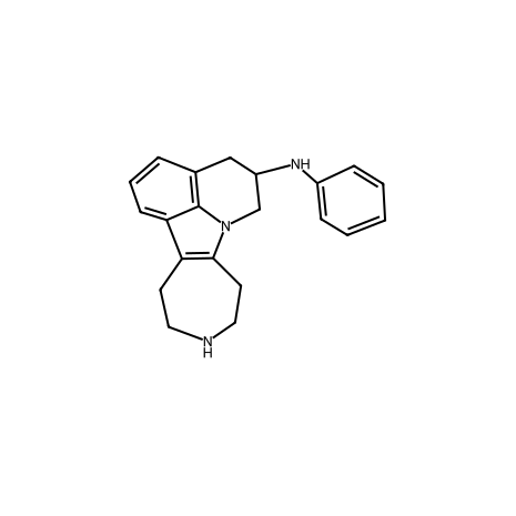 c1ccc(NC2Cc3cccc4c5c(n(c34)C2)CCNCC5)cc1